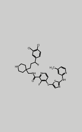 Cc1ccnc(Nc2ncc(Sc3ccnc(C(=O)NCC4(CCC(F)c5ccc(Cl)c(Cl)c5)CCNCC4)c3F)s2)c1